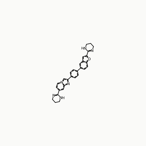 c1cn2cc(-c3ccc(-c4ccc5oc(C6=NCCCN6)cc5c4)cc3)nc2cc1C1=NCCCN1